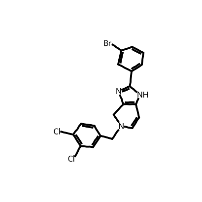 Clc1ccc(CN2C=Cc3[nH]c(-c4cccc(Br)c4)nc3C2)cc1Cl